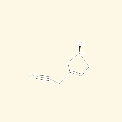 C#CCC1=CC[C@H](O)C1